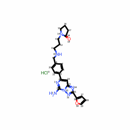 Cl.Nc1nc(-c2ccc(CNCCCN3CCCC3=O)cc2)cc2nc(-c3ccco3)nn12